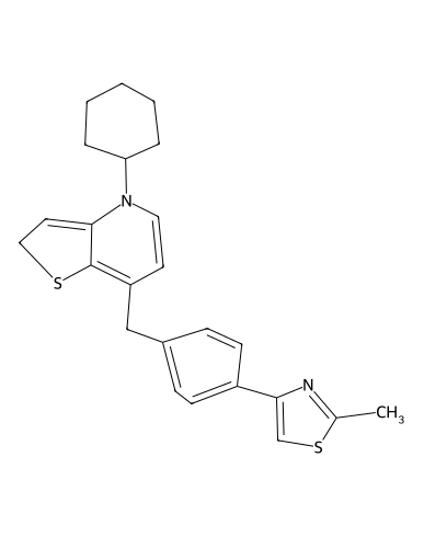 Cc1nc(-c2ccc(CC3=C4SCC=C4N(C4CCCCC4)C=C3)cc2)cs1